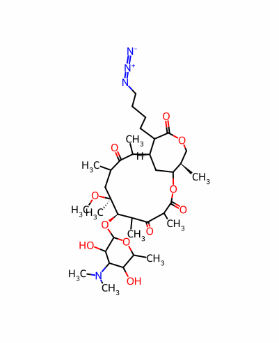 CO[C@@]1(C)CC(C)C(=O)C(C)[C@@H]2CC(OC(=O)C(C)C(=O)C(C)[C@H]1OC1OC(C)C(O)C(N(C)C)C1O)[C@H](C)COC(=O)C2CCCCN=[N+]=[N-]